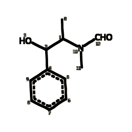 CC(C(O)c1ccccc1)N(C)C=O